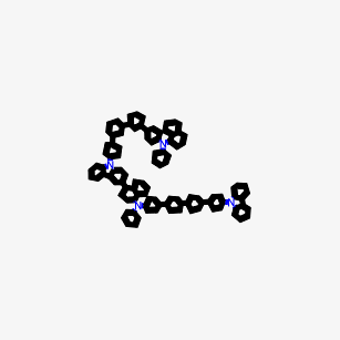 c1ccc(N(c2ccc(-c3cccc(-c4cccc(-c5ccc(-n6c7ccccc7c7cc(-c8ccc(N(c9ccccc9)c9ccc(-c%10ccc(-c%11ccc(-c%12ccc(-n%13c%14ccccc%14c%14ccccc%14%13)cc%12)cc%11)cc%10)cc9)c9ccccc89)ccc76)cc5)c4)c3)cc2)c2cccc3ccccc23)cc1